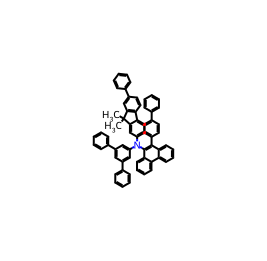 CC1(C)c2cc(-c3ccccc3)ccc2-c2ccc(N(c3cc(-c4ccccc4)cc(-c4ccccc4)c3)c3c(-c4ccc(-c5ccccc5)cc4)c4ccccc4c4ccccc34)cc21